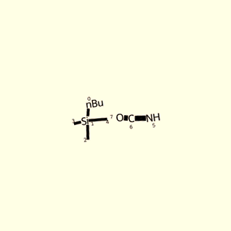 CCCC[Si](C)(C)C.N=C=O